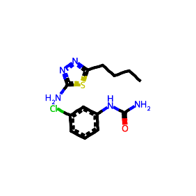 CCCCc1nnc(N)s1.NC(=O)Nc1cccc(Cl)c1